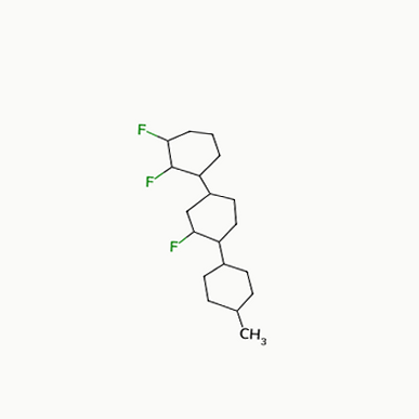 CC1CCC(C2CCC(C3CCCC(F)C3F)CC2F)CC1